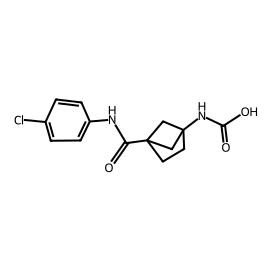 O=C(O)NC12CCC(C(=O)Nc3ccc(Cl)cc3)(C1)C2